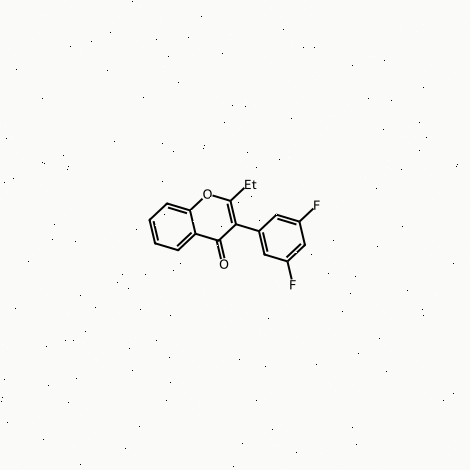 CCc1oc2ccccc2c(=O)c1-c1cc(F)cc(F)c1